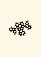 c1cc(-c2ccc3c4ccccc4n(-c4cc5ccccc5c5ccccc45)c3c2)c2c(-c3ccc4c5ccccc5n(-c5cc6ccccc6c6ccccc56)c4c3)cccc2c1